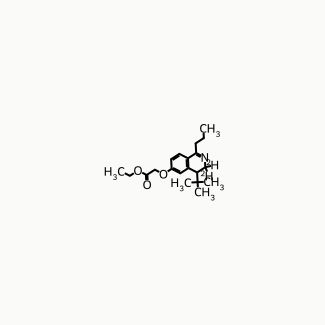 [2H]C1([2H])N=C(CCC)c2ccc(OCC(=O)OCC)cc2C1C(C)(C)C